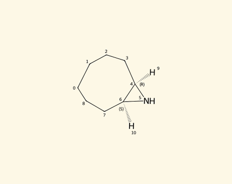 C1CCC[C@H]2N[C@H]2CC1